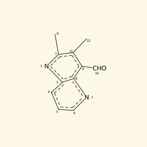 Cc1nc2cccnc2c(C=O)c1C